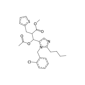 CCCCc1ncc(C(OC(C)=O)C(Cc2cccs2)C(=O)OC)n1Cc1ccccc1Cl